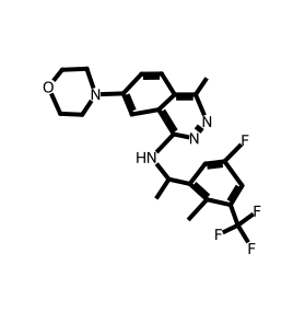 Cc1c(C(C)Nc2nnc(C)c3ccc(N4CCOCC4)cc23)cc(F)cc1C(F)(F)F